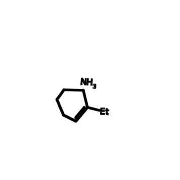 CCC1=CCCCC1.N